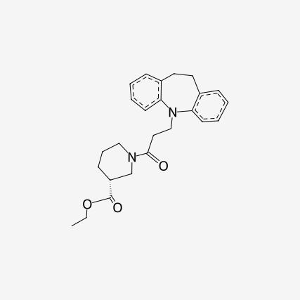 CCOC(=O)[C@@H]1CCCN(C(=O)CCN2c3ccccc3CCc3ccccc32)C1